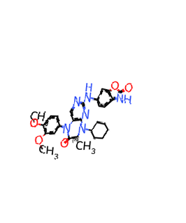 COc1ccc(N2C(=O)[C@@H](C)N(C3CCCCC3)c3nc(Nc4ccc5[nH]c(=O)oc5c4)ncc32)cc1OC